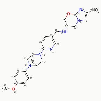 O=[N+]([O-])c1cn2c(n1)OC[C@@H](NCc1ccc(N3CC4CC3CN4c3ccc(OC(F)(F)F)cc3)nc1)C2